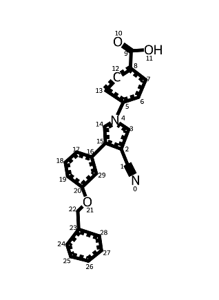 N#Cc1cn(-c2ccc(C(=O)O)cc2)cc1-c1cccc(OCc2ccccc2)c1